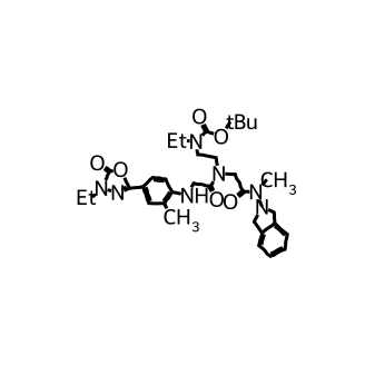 CCN(CCN(CC(=O)N(C)N1Cc2ccccc2C1)C(=O)CNc1ccc(-c2nn(CC)c(=O)o2)cc1C)C(=O)OC(C)(C)C